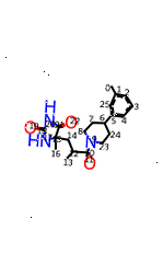 Cc1cccc(C2CCN(C(=O)C(C)CC3(C)NC(=O)NC3=O)CC2)c1